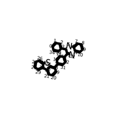 c1ccc(-c2nc3ccccc3nc2-c2ccc(-c3cccc4c3sc3ccccc34)cc2)cc1